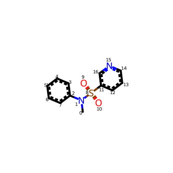 CN(c1cc[c]cc1)S(=O)(=O)c1cccnc1